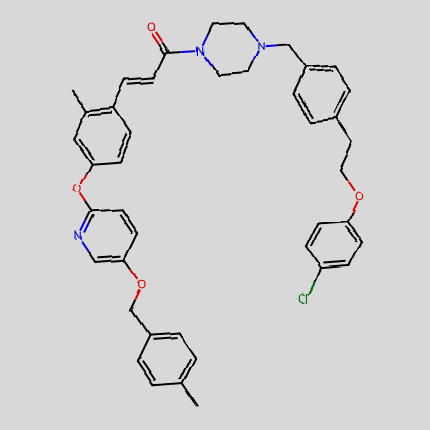 Cc1ccc(COc2ccc(Oc3ccc(C=CC(=O)N4CCN(Cc5ccc(CCOc6ccc(Cl)cc6)cc5)CC4)c(C)c3)nc2)cc1